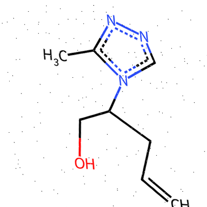 C=CCC(CO)n1cnnc1C